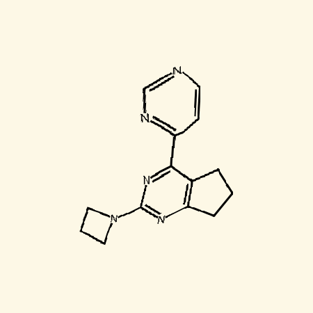 c1cc(-c2nc(N3CCC3)nc3c2CCC3)ncn1